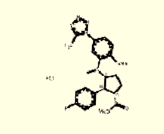 COC(=O)[C@H]1CC[C@H](N(C)c2cc(-n3nnnc3C(F)(F)F)ccc2SC)[C@@H]1c1ccc(F)cc1.Cl